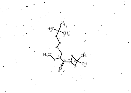 CCC(CCCCC(C)(C)C)C(=O)N1CC(C)(O)C1